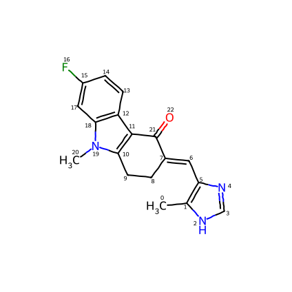 Cc1[nH]cnc1C=C1CCc2c(c3ccc(F)cc3n2C)C1=O